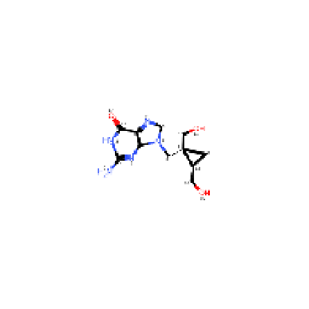 NC1=NC2C(=NCN2C[C@]2(CO)C[C@H]2CO)C(=O)N1